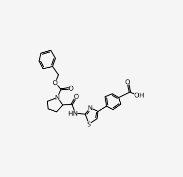 O=C(O)c1ccc(-c2csc(NC(=O)C3CCCN3C(=O)OCc3ccccc3)n2)cc1